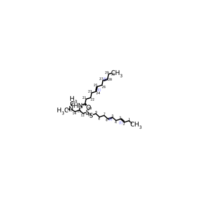 CC/C=C/C/C=C/CCCSSCC(CN(C)C)NC(=O)CCC/C=C/C/C=C/CC